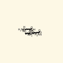 CC(C)C[C@@H](N)C(=O)O.N=C(N)NCCCC[C@@H](N)C(=O)O.NC(CCCCC(=O)O)C(=O)O